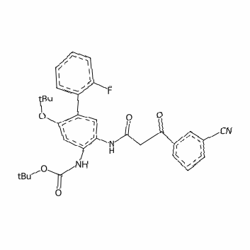 CC(C)(C)OC(=O)Nc1cc(OC(C)(C)C)c(-c2ccccc2F)cc1NC(=O)CC(=O)c1cccc(C#N)c1